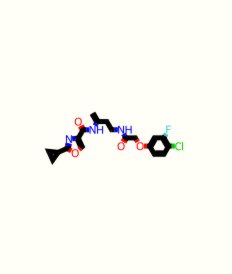 C=C(CCNC(=O)COc1ccc(Cl)c(F)c1)NC(=O)c1coc(C2CC2)n1